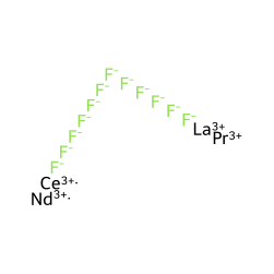 [Ce+3].[F-].[F-].[F-].[F-].[F-].[F-].[F-].[F-].[F-].[F-].[F-].[F-].[La+3].[Nd+3].[Pr+3]